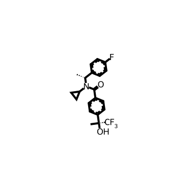 C[C@H](c1ccc(F)cc1)N(C(=O)c1ccc([C@](C)(O)C(F)(F)F)cc1)C1CC1